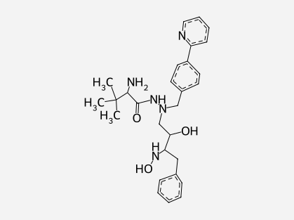 CC(C)(C)C(N)C(=O)NN(Cc1ccc(-c2ccccn2)cc1)CC(O)C(Cc1ccccc1)NO